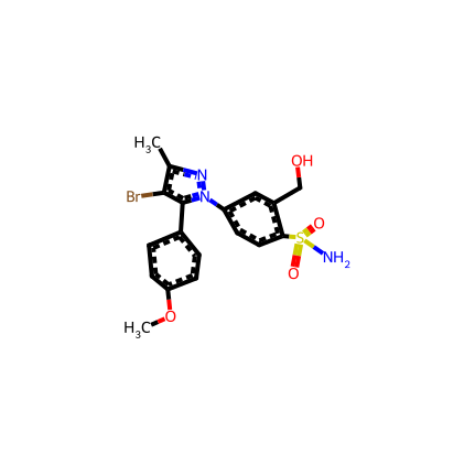 COc1ccc(-c2c(Br)c(C)nn2-c2ccc(S(N)(=O)=O)c(CO)c2)cc1